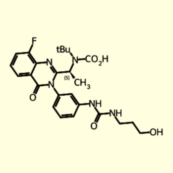 C[C@@H](c1nc2c(F)cccc2c(=O)n1-c1cccc(NC(=O)NCCCO)c1)N(C(=O)O)C(C)(C)C